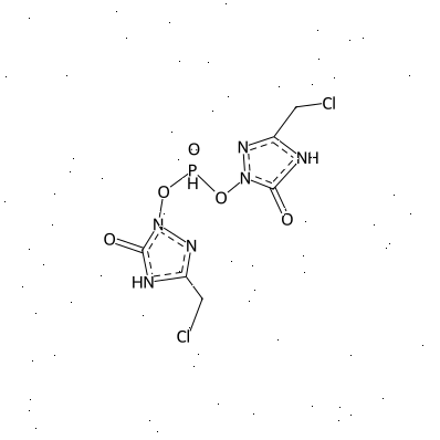 O=c1[nH]c(CCl)nn1O[PH](=O)On1nc(CCl)[nH]c1=O